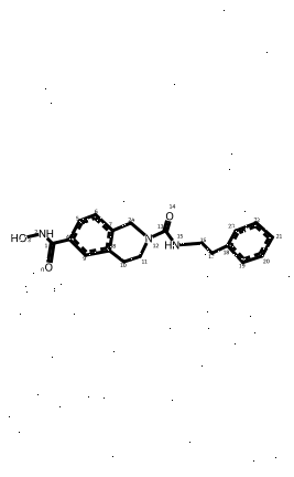 O=C(NO)c1ccc2c(c1)CCN(C(=O)NCCc1ccccc1)C2